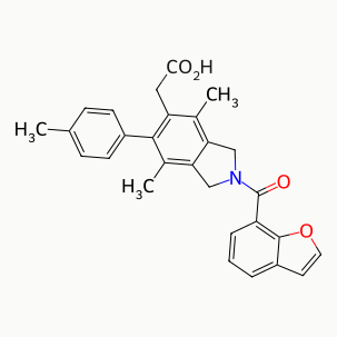 Cc1ccc(-c2c(C)c3c(c(C)c2CC(=O)O)CN(C(=O)c2cccc4ccoc24)C3)cc1